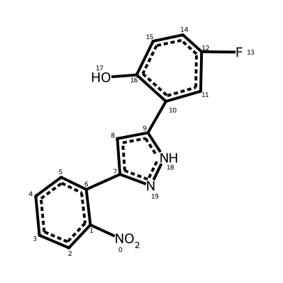 O=[N+]([O-])c1ccccc1-c1cc(-c2cc(F)ccc2O)[nH]n1